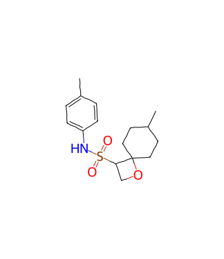 Cc1ccc(NS(=O)(=O)C2COC23CCC(C)CC3)cc1